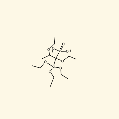 CCOC(C)C(OCC)([Si](OCC)(OCC)OCC)P(=O)(O)O